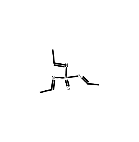 CC=NP(=S)(N=CC)N=CC